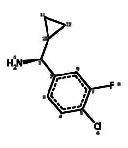 N[C@H](c1ccc(Cl)c(F)c1)C1CC1